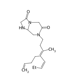 C=CCCC(/C=C\CC)=C(/C)CCN1CC2NCC(=O)N2CC1=O